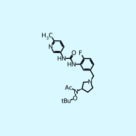 CC(=O)N(OC(C)(C)C)[C@@H]1CCN(Cc2ccc(F)c(NC(=O)Nc3ccc(C)nc3)c2)C1